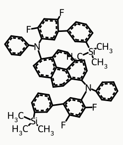 C[Si](C)(C)c1cccc(-c2cc(N(c3ccccc3)c3ccc4ccc5c(N(c6ccccc6)c6cc(-c7cccc([Si](C)(C)C)c7)c(F)cc6F)ccc6ccc3c4c65)c(F)cc2F)c1